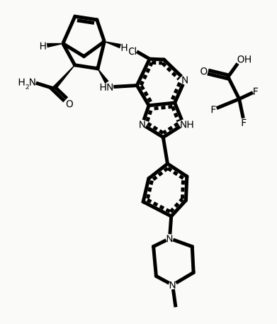 CN1CCN(c2ccc(-c3nc4c(N[C@H]5[C@@H](C(N)=O)[C@@H]6C=C[C@H]5C6)c(Cl)cnc4[nH]3)cc2)CC1.O=C(O)C(F)(F)F